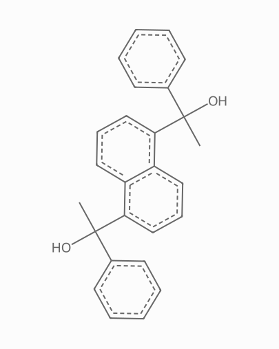 CC(O)(c1ccccc1)c1cccc2c(C(C)(O)c3ccccc3)cccc12